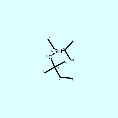 CCC(C)(C)O[SiH](C)C(C)C